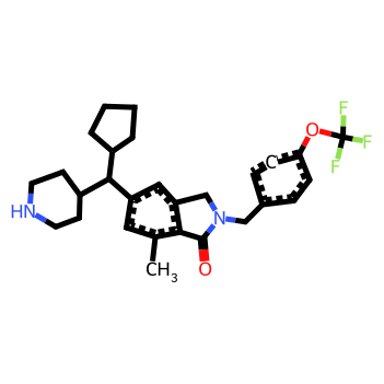 Cc1cc(C(C2CCCC2)C2CCNCC2)cc2c1C(=O)N(Cc1ccc(OC(F)(F)F)cc1)C2